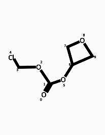 O=C(OCCl)OC1COC1